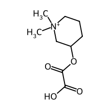 C[N+]1(C)CCCC(OC(=O)C(=O)O)C1